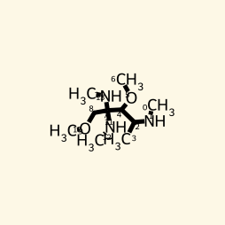 CNC(C)C(OC)C(COC)(NC)NC